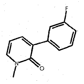 Cn1cccc(-c2cc[c]c(F)c2)c1=O